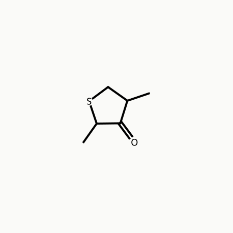 CC1CSC(C)C1=O